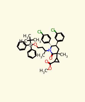 COC(=O)C1CC1[C@@]1(C)C[C@H](c2cccc(Cl)c2)[C@@H](c2ccc(Cl)cc2)N([C@@H](C)CCO[Si](c2ccccc2)(c2ccccc2)C(C)(C)C)C1=O